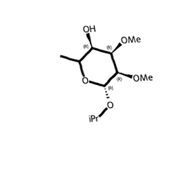 CO[C@H]1[C@H](OC(C)C)OC(C)[C@@H](O)[C@H]1OC